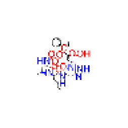 CCCCC(NC(=O)[C@H](CC(C)C)NC(=O)OCc1ccccc1)C(=O)N[C@@H](Cc1c[nH]cn1)C(=O)N[C@H](/C=C/C(=O)OCC)CC(=O)O